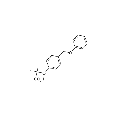 CC(C)(Oc1ccc(COc2ccccc2)cc1)C(=O)O